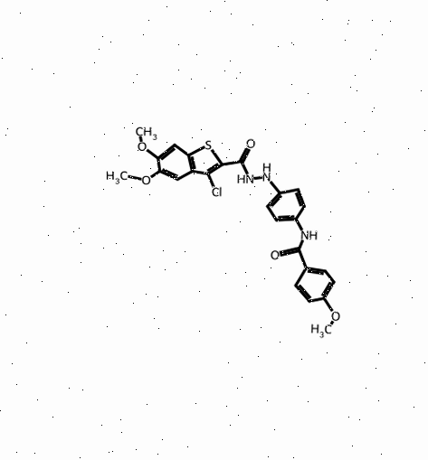 COc1ccc(C(=O)Nc2ccc(NNC(=O)c3sc4cc(OC)c(OC)cc4c3Cl)cc2)cc1